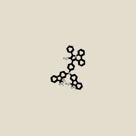 Cc1c(-c2ccc(N(c3ccc4c(c3)C(C)(C)c3ccccc3-4)c3ccc4c(c3)C(C)(C)c3ccccc3-4)cc2)c2c3ccccc3c3ccccc3n2c1-c1ccccc1